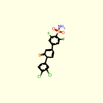 NS(=O)(=O)c1c(F)cc(C2=CC(=S)C(c3ccc(Cl)c(Cl)c3)C=C2)cc1F